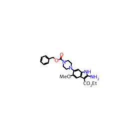 CCOC(=O)c1c(N)[nH]c2cc(N3CCN(C(=O)OCc4ccccc4)CC3)c(OC)cc12